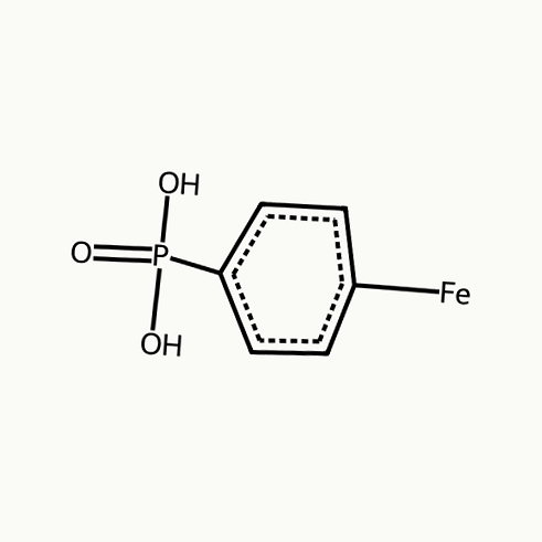 O=P(O)(O)c1cc[c]([Fe])cc1